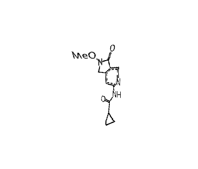 CON1Cc2cc(NC(=O)C3CC3)ncc2C1=O